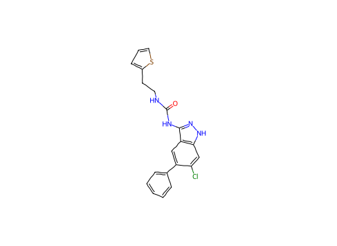 O=C(NCCc1cccs1)Nc1n[nH]c2cc(Cl)c(-c3ccccc3)cc12